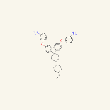 CC[C@H]1CC[C@H](C2CCC(c3ccc(Oc4cccc(N)c4)cc3)(c3ccc(Oc4cccc(N)c4)cc3)CC2)CC1